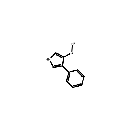 CCCCOc1c[nH][c]c1-c1ccccc1